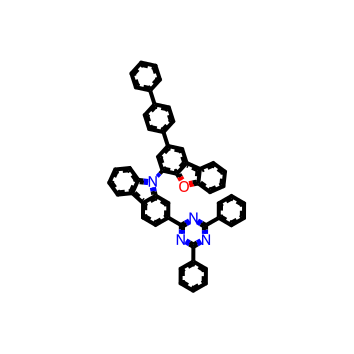 c1ccc(-c2ccc(-c3cc(-n4c5ccccc5c5ccc(-c6nc(-c7ccccc7)nc(-c7ccccc7)n6)cc54)c4oc5ccccc5c4c3)cc2)cc1